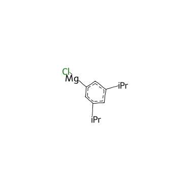 CC(C)c1c[c]([Mg][Cl])cc(C(C)C)c1